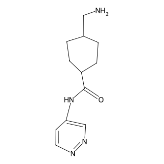 NCC1CCC(C(=O)Nc2ccnnc2)CC1